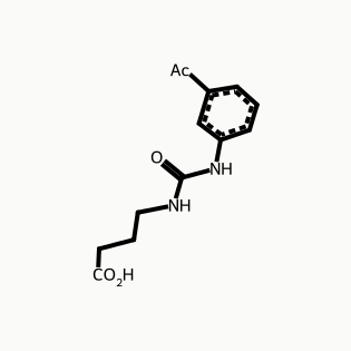 CC(=O)c1cccc(NC(=O)NCCCC(=O)O)c1